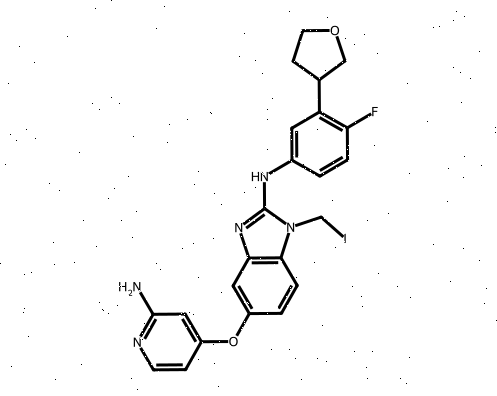 Nc1cc(Oc2ccc3c(c2)nc(Nc2ccc(F)c(C4CCOC4)c2)n3CI)ccn1